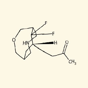 CC(=O)C[C@@H]1CC2CNCC(COC2)C1(F)F